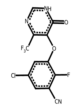 N#Cc1cc(Cl)cc(Oc2c(C(F)(F)F)nc[nH]c2=O)c1F